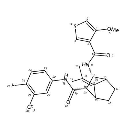 COc1cscc1C(=O)N[C@@H]1C2CCC(C2=C(C)C)[C@@H]1C(=O)Nc1ccc(F)c(C(F)(F)F)c1